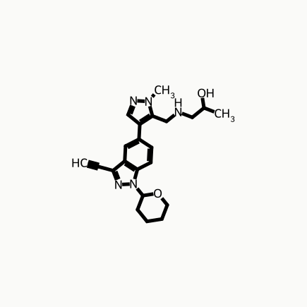 C#Cc1nn(C2CCCCO2)c2ccc(-c3cnn(C)c3CNCC(C)O)cc12